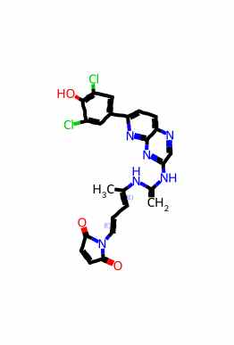 C=C(N/C(C)=C/C=C/N1C(=O)C=CC1=O)Nc1cnc2ccc(-c3cc(Cl)c(O)c(Cl)c3)nc2n1